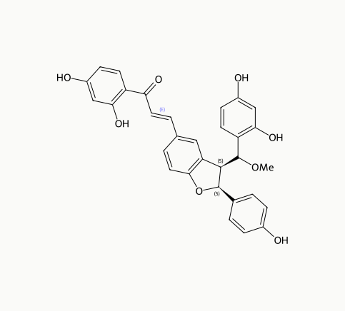 COC(c1ccc(O)cc1O)[C@@H]1c2cc(/C=C/C(=O)c3ccc(O)cc3O)ccc2O[C@@H]1c1ccc(O)cc1